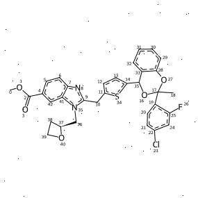 COC(=O)c1ccc2nc(Cc3ccc(C4OC(C)(c5ccc(Cl)cc5F)Oc5ccccc54)s3)n(C[C@@H]3CCO3)c2c1